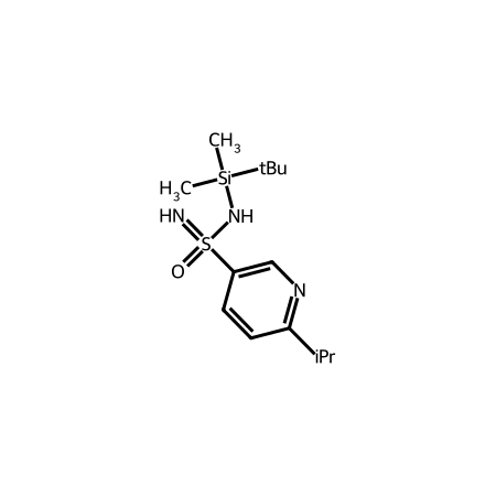 CC(C)c1ccc(S(=N)(=O)N[Si](C)(C)C(C)(C)C)cn1